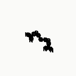 C1=CC2Oc3ccc(-c4cccc(-c5ccc6oc7ccc(-n8c9ccncc9c9cnccc98)cc7c6c5)c4)cc3C2C=C1n1c2ccncc2c2cnccc21